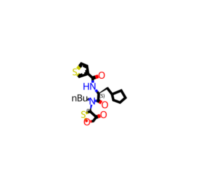 CCCCN(C(=O)[C@H](CC1CCCC1)NC(=O)c1ccsc1)[C@@H]1SOCC1=O